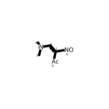 CC(=O)/C(=C\N(C)C)N=O